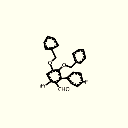 CC(C)c1cc(OCc2ccccc2)c(OCc2ccccc2)c(-c2ccc(F)cc2)c1C=O